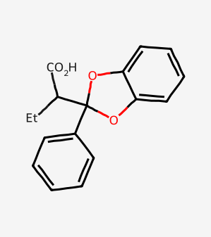 CCC(C(=O)O)C1(c2ccccc2)Oc2ccccc2O1